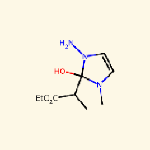 CCOC(=O)C(C)C1(O)N(C)C=CN1N